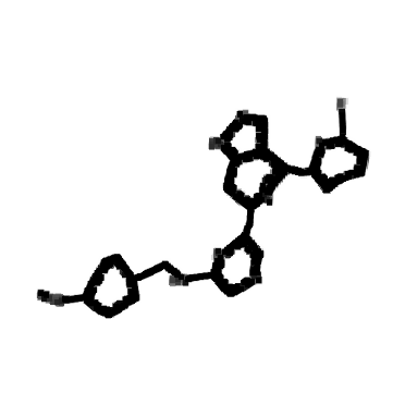 COc1ccc(CNc2cncc(-c3cc4[nH]ncc4c(-c4cccc(F)n4)n3)n2)cc1